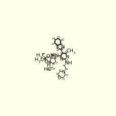 Cc1nc(NCCN2CCOCC2)nc(NC2C[C@H](CO)[C@H]3OC(C)(C)O[C@@H]23)c1-c1nc2ccccc2s1